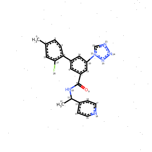 Cc1ccc(-c2cc(C(=O)NC(C)c3ccncc3)cc(-n3cnnn3)c2)c(F)c1